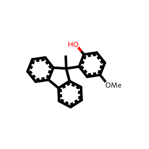 COc1ccc(O)c(C2(C)c3ccccc3-c3ccccc32)c1